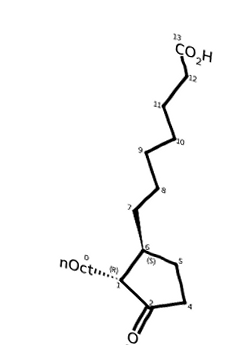 CCCCCCCC[C@H]1C(=O)CC[C@@H]1CCCCCCC(=O)O